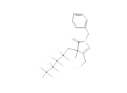 CCC1=CN(Cc2ccccc2)C(=O)C1(C)CC(F)(F)C(F)(F)C(F)(F)C(F)(F)F